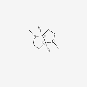 CN1CC[C@H]2[C@@H]1CCN2C